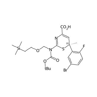 CC(C)(C)OC(=O)N(COCC[Si](C)(C)C)C1=NC(C(=O)O)=C[C@@](C)(c2cc(Br)ccc2F)S1